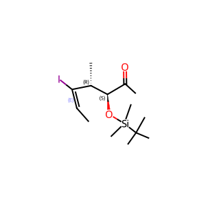 C/C=C(/I)[C@H](C)[C@H](O[Si](C)(C)C(C)(C)C)C(C)=O